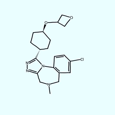 CN1Cc2cc(Cl)ccc2-n2c(nnc2[C@H]2CC[C@H](OC3COC3)CC2)C1